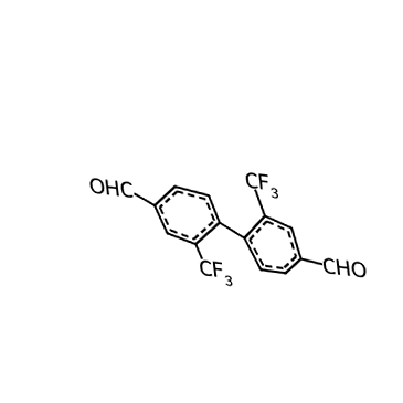 O=Cc1ccc(-c2ccc(C=O)cc2C(F)(F)F)c(C(F)(F)F)c1